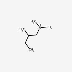 CCC(C)C[SiH](C)C